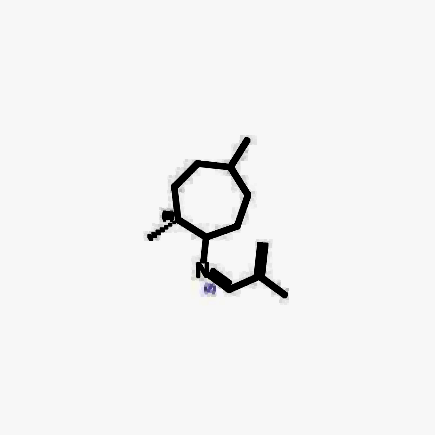 C=C(C)/C=N\C1CCC(C)CC[C@H]1C